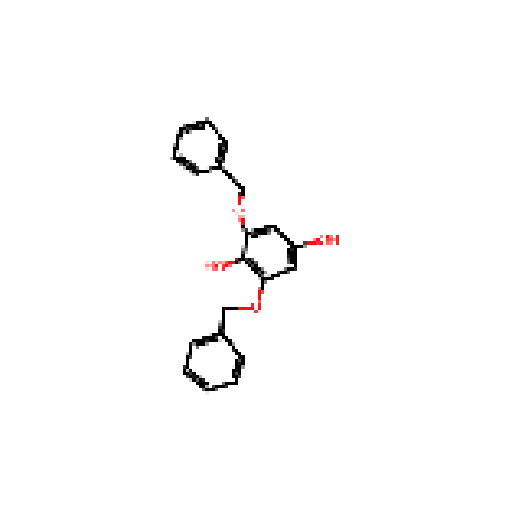 Oc1cc(OCc2ccccc2)c(O)c(OCc2ccccc2)c1